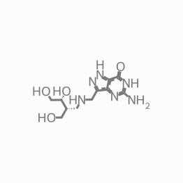 Nc1nc2c(CNC[C@H](CO)[C@@H](O)CO)n[nH]c2c(=O)[nH]1